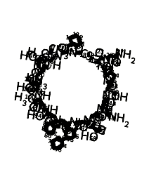 CC(C)[C@@H]1NC(=O)[C@H](Cc2ccccc2)NC(=O)CSC[C@@H](C(=O)NCC(N)=O)NC(=O)[C@@H]2CCCN2C(=O)[C@H](CO)NC(=O)[C@H](CC(N)=O)NC(=O)[C@H](CCC(=O)O)N(C)C(=O)[C@H](Cc2ccc(-c3ccccc3)cc2)NC(=O)[C@H](Cc2ccccc2)N(C)C(=O)[C@H](CO)NC(=O)[C@H]([C@@H](C)O)NC(=O)[C@H]([C@@H](C)O)NC(=O)[C@H](CC(=O)O)NC1=O